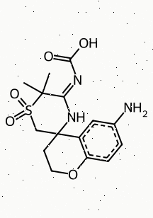 CC1(C)C(=NC(=O)O)NC2(CCOc3ccc(N)cc32)CS1(=O)=O